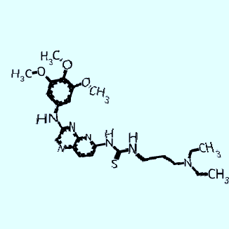 CCN(CC)CCCNC(=S)Nc1ccc2ncc(Nc3cc(OC)c(OC)c(OC)c3)nc2n1